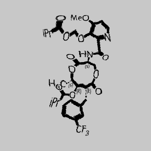 COc1ccnc(C(=O)N[C@H]2COC(=O)[C@H](Cc3cccc(C(F)(F)F)c3)[C@@H](OC(=O)C(C)C)[C@H](C)OC2=O)c1OCOC(=O)C(C)C